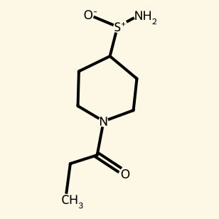 CCC(=O)N1CCC([S+](N)[O-])CC1